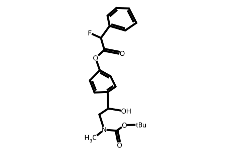 CN(CC(O)c1ccc(OC(=O)C(F)c2ccccc2)cc1)C(=O)OC(C)(C)C